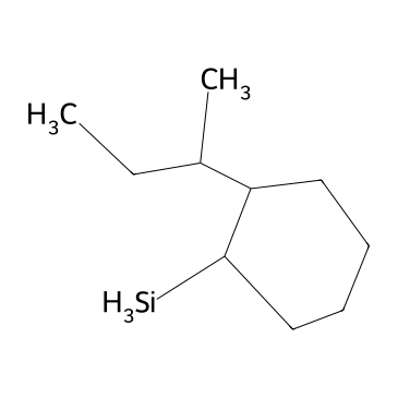 CCC(C)C1CCCCC1[SiH3]